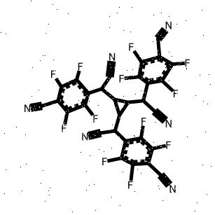 N#Cc1c(F)c(F)c(C(C#N)C2C(C(C#N)c3c(F)c(F)c(C#N)c(F)c3F)C2C(C#N)c2c(F)c(F)c(C#N)c(F)c2F)c(F)c1F